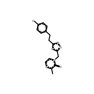 Cc1nccn(Cc2nc(CCc3ccc(Cl)cc3)no2)c1=O